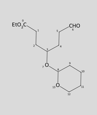 CCOC(=O)CCC(CCC=O)OC1CCCCO1